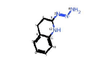 NN=NC1CCc2ccccc2N1